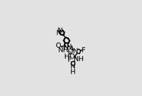 NC(=O)c1nn(CC(=O)N2CC(F)CC2C(O)NC2CNCC2F)c2ccc(-c3ccnnc3)cc12